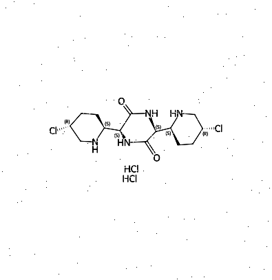 Cl.Cl.O=C1N[C@@H]([C@@H]2CC[C@@H](Cl)CN2)C(=O)N[C@H]1[C@@H]1CC[C@@H](Cl)CN1